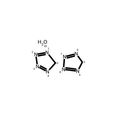 C1N=NN=N1.C1N=NN=N1.O